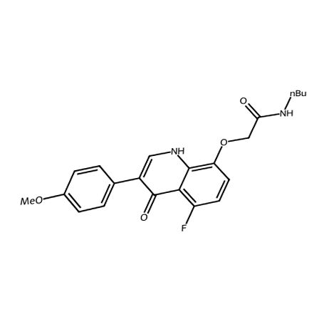 CCCCNC(=O)COc1ccc(F)c2c(=O)c(-c3ccc(OC)cc3)c[nH]c12